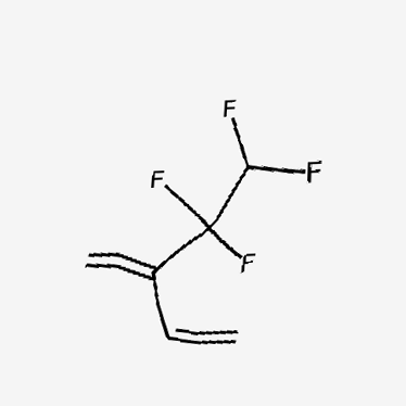 C=CC(=C)C(F)(F)C(F)F